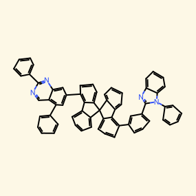 c1ccc(-c2ncc3c(-c4ccccc4)cc(-c4cccc5c4-c4ccccc4C54c5ccccc5-c5c(-c6cccc(-c7nc8ccccc8n7-c7ccccc7)c6)cccc54)cc3n2)cc1